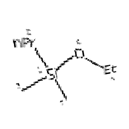 CCC[Si](C)(C)OCC